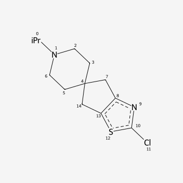 CC(C)N1CCC2(CC1)Cc1nc(Cl)sc1C2